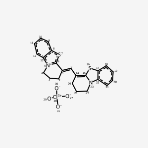 C(=C1CCC[n+]2c1sc1ccccc12)C1=C2Sc3ccccc3N2CCC1.[O-][Cl+3]([O-])([O-])[O-]